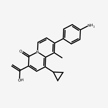 C=C(O)c1cc(C2CC2)c2c(C)c(-c3ccc(N)cc3)ccn2c1=O